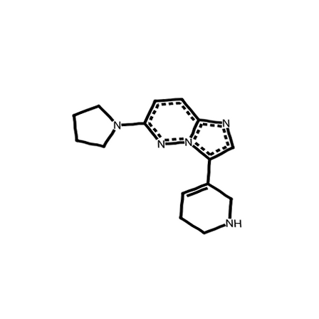 C1=C(c2cnc3ccc(N4CCCC4)nn23)CNCC1